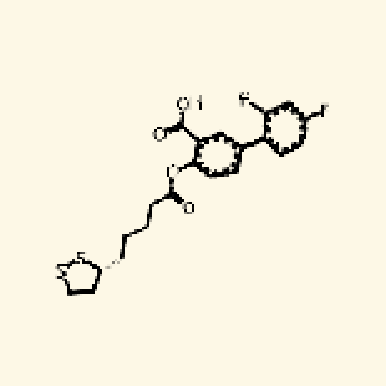 O=C(CCCC[C@@H]1CCSS1)Oc1ccc(-c2ccc(F)cc2F)cc1C(=O)O